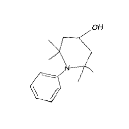 CC1(C)CC(O)CC(C)(C)N1c1ccccc1